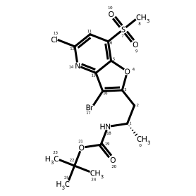 C[C@@H](Cc1oc2c(S(C)(=O)=O)cc(Cl)nc2c1Br)NC(=O)OC(C)(C)C